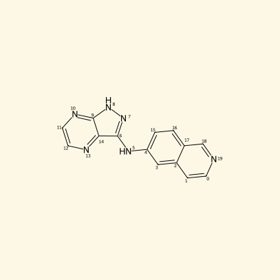 c1cc2cc(Nc3n[nH]c4nccnc34)ccc2cn1